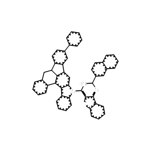 c1ccc(-c2ccc3c(c2)-c2cc4c(c5c2C3Cc2ccccc2-5)c2ccccc2n4C2=c3oc4ccccc4c3=NC(c3ccc4ccccc4c3)N2)cc1